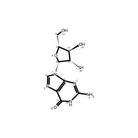 Nc1nc2c(ncn2[C@@H]2O[C@H](CO)[C@@H](O)[C@@H]2S)c(=O)[nH]1